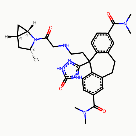 CN(C)C(=O)c1ccc2c(c1)CCc1cc(C(=O)N(C)C)ccc1C2(CCNCC(=O)N1[C@H](C#N)C[C@@H]2C[C@@H]21)c1n[nH]c(=O)[nH]1